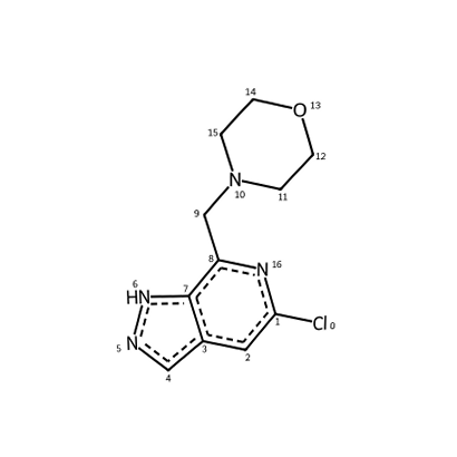 Clc1cc2cn[nH]c2c(CN2CCOCC2)n1